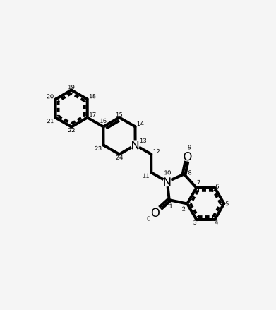 O=C1c2ccccc2C(=O)N1CCN1CC=C(c2ccccc2)CC1